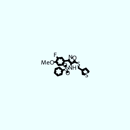 COc1ccc(-c2noc(SCc3ccsc3)c2NS(=O)(=O)c2ccccc2)cc1F